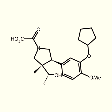 COc1ccc([C@@H]2CN(C(=O)C(=O)O)C[C@@]2(C)[C@@H](C)O)cc1OC1CCCC1